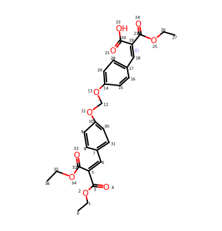 CCOC(=O)C(=Cc1ccc(OCOc2ccc(/C=C(\C(=O)O)C(=O)OCC)cc2)cc1)C(=O)OCC